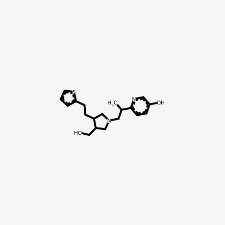 CC(CN1CC(CO)C(CCc2cccs2)C1)c1ccc(O)cn1